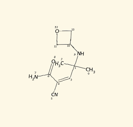 CC(C)(C=C(C#N)C(N)=O)NC1COC1